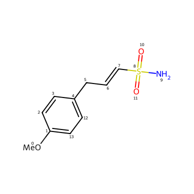 COc1ccc(CC=CS(N)(=O)=O)cc1